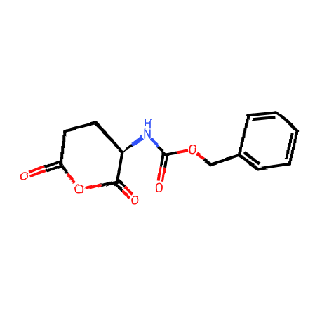 O=C1CC[C@@H](NC(=O)OCc2ccccc2)C(=O)O1